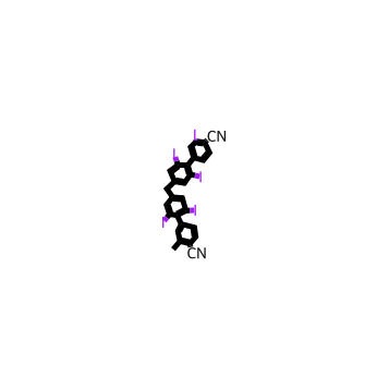 Cc1cc(-c2c(I)cc(Cc3cc(I)c(-c4ccc(C#N)c(I)c4)c(I)c3)cc2I)ccc1C#N